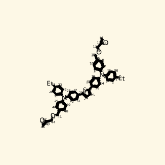 CCc1ccc(N(c2ccc(COCC3CO3)cc2)c2ccc(-c3ccc(-c4ccc(N(c5ccc(CC)cc5)c5ccc(COCC6CO6)cc5)cc4)s3)cc2)cc1